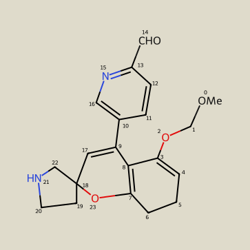 COCOC1=CCCC2=C1C(c1ccc(C=O)nc1)=CC1(CCNC1)O2